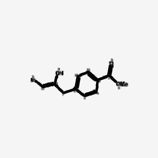 COC(=O)c1ccc(CC(O)=CBr)cc1